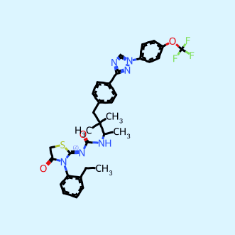 CCc1ccccc1N1C(=O)CS/C1=N\C(=O)NC(C)C(C)(C)Cc1ccc(-c2ncn(-c3ccc(OC(F)(F)F)cc3)n2)cc1